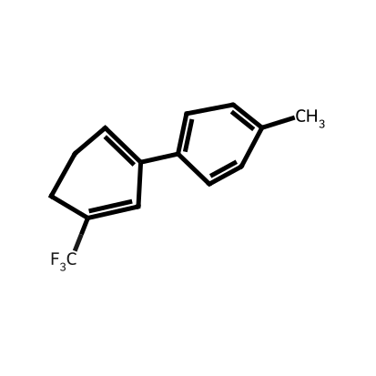 Cc1ccc(C2=CCCC(C(F)(F)F)=C2)cc1